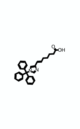 O=C(O)CCCCC=Cc1cn(C(c2ccccc2)(c2ccccc2)c2ccccc2)cn1